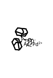 CC(=O)[O-].CC(=O)[O-].CCCP(C12CC3CC(CC(C3)C1)C2)C12CC3CC(CC(C3)C1)C2.[Pd+2]